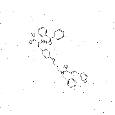 COC(=O)[C@H](Cc1ccc(OCCCN(Cc2ccccc2)C(=O)C=Cc2ccoc2)cc1)Nc1ccccc1C(=O)c1ccccc1